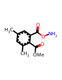 COC(=O)c1c(C)cc(C)cc1C(=O)ON